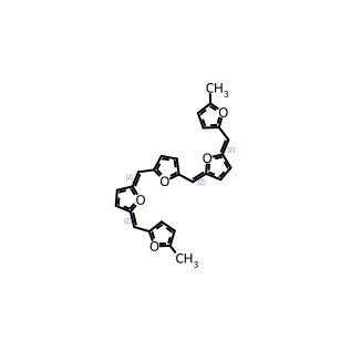 Cc1ccc(/C=c2/cc/c(=C/c3ccc(/C=c4/cc/c(=C/c5ccc(C)o5)o4)o3)o2)o1